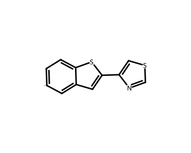 [c]1ccc2sc(-c3cscn3)cc2c1